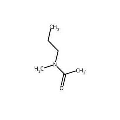 [CH2]C(=O)N(C)CCC